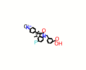 [C-]#[N+]c1ccc([C@]2(C(C)C)C[C@@]23C(=O)N(Cc2cccc(C(=O)O)c2)c2ccc(F)cc23)cc1